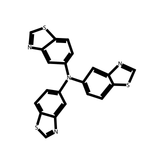 c1nc2cc(N(c3ccc4scnc4c3)c3ccc4scnc4c3)ccc2s1